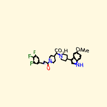 COc1ccc2[nH]cc(C3CCN(C(C(=O)O)C4CCN(C(=O)/C=C/c5cc(F)c(F)c(F)c5)CC4)CC3)c2c1